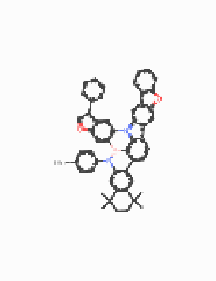 CC(C)(C)c1ccc(N2B3c4cc5occ(-c6ccccc6)c5cc4-n4c5cc6c(cc5c5ccc(c3c54)-c3cc4c(cc32)C(C)(C)CCC4(C)C)oc2ccccc26)cc1